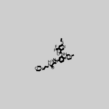 CCSc1cc(C(F)(F)F)c(C(=O)Nc2cc(-n3cc(C(=O)NCCCN4CCOCC4)nn3)ccc2N2CCN(C)CC2)cn1